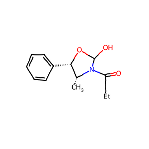 CCC(=O)N1C(O)O[C@@H](c2ccccc2)[C@H]1C